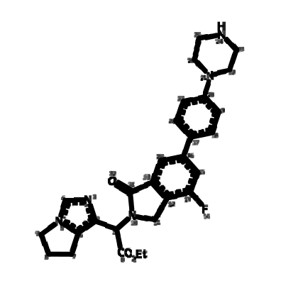 CCOC(=O)C(c1ncn2c1CCC2)N1Cc2c(F)cc(-c3ccc(N4CCNCC4)cc3)cc2C1=O